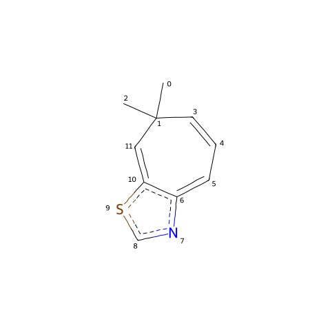 CC1(C)C=CC=c2ncsc2=C1